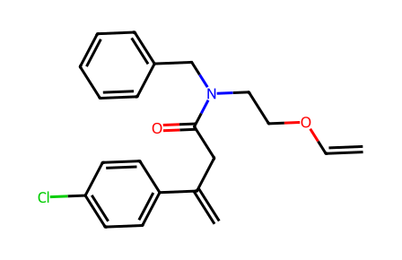 C=COCCN(Cc1ccccc1)C(=O)CC(=C)c1ccc(Cl)cc1